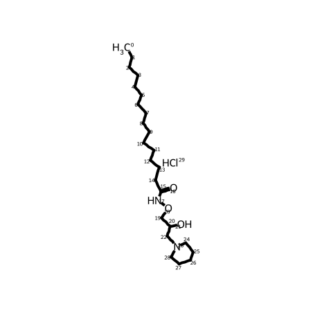 CCCCCCCCCCCCCCCC(=O)NOCC(O)CN1CCCCC1.Cl